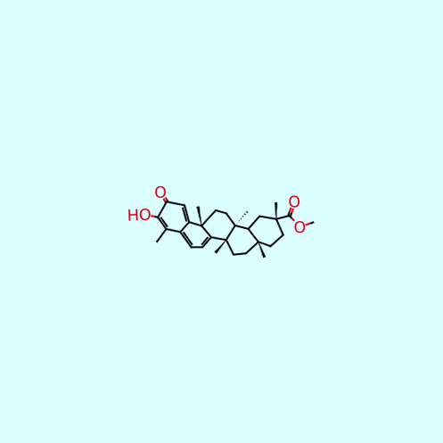 COC(=O)[C@]1(C)CC[C@]2(C)CC[C@]3(C)C4=CC=C5C(=CC(=O)C(O)=C5C)[C@]4(C)CC[C@@]3(C)C2C1